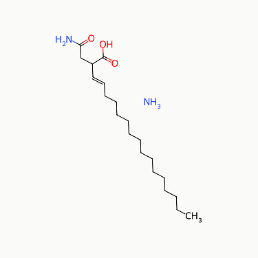 CCCCCCCCCCCCCCC=CC(CC(N)=O)C(=O)O.N